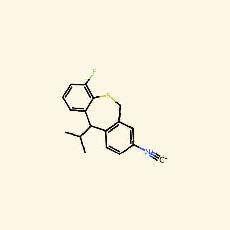 [C-]#[N+]c1ccc2c(c1)CSc1c(F)cccc1C2C(C)C